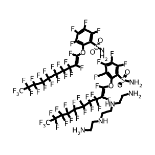 NCCNCCNCCN.NS(=O)(=O)c1c(F)c(F)c(F)c(F)c1OC(F)=C(F)C(F)(F)C(F)(F)C(F)(F)C(F)(F)C(F)(F)C(F)(F)C(F)(F)C(F)(F)F.NS(=O)(=O)c1c(F)c(F)c(F)c(F)c1OC(F)=C(F)C(F)(F)C(F)(F)C(F)(F)C(F)(F)C(F)(F)C(F)(F)C(F)(F)C(F)(F)F